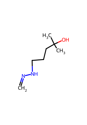 C=NNCCCC(C)(C)O